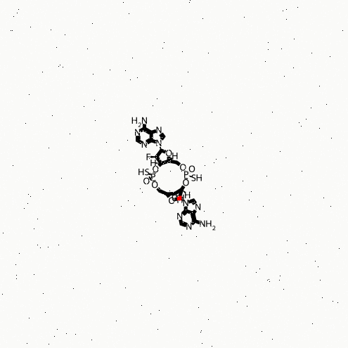 Nc1ncnc2c1ncn2[C@@H]1O[C@@H]2CO[P@](=O)(S)O[C@@H]3[C@H](O)C(CO[P@@](=O)(S)O[C@H]2[C@H]1F)O[C@H]3n1cnc2c(N)ncnc21